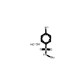 [B+2]c1ccc(S(=O)(=O)NC(C)(C)C)cc1.[OH-].[OH-]